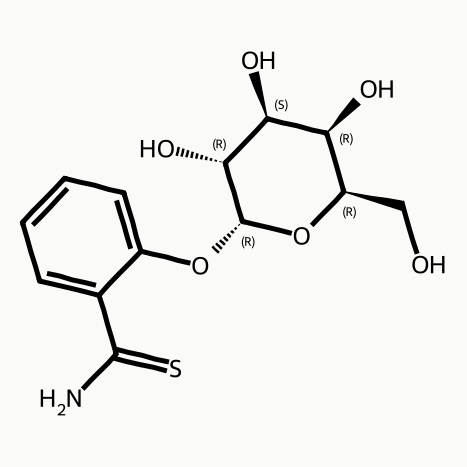 NC(=S)c1ccccc1O[C@H]1O[C@H](CO)[C@H](O)[C@H](O)[C@H]1O